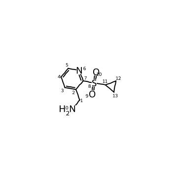 NCc1cccnc1S(=O)(=O)C1CC1